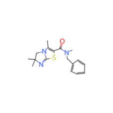 CC1=C(C(=O)N(C)Cc2ccccc2)SC2=NC(C)(C)CN21